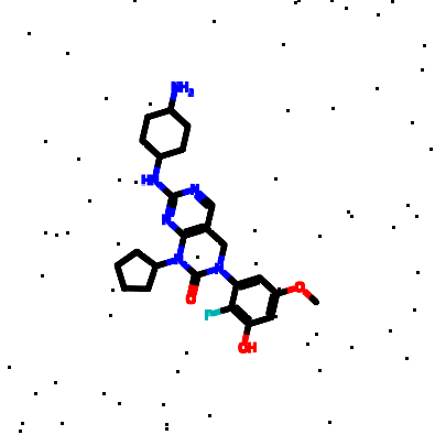 COc1cc(O)c(F)c(N2Cc3cnc(NC4CCC(N)CC4)nc3N(C3CCCC3)C2=O)c1